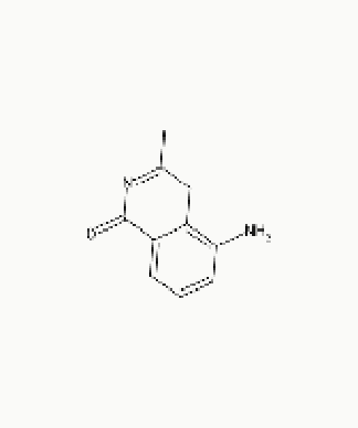 CC1=NC(=O)c2cccc(N)c2C1